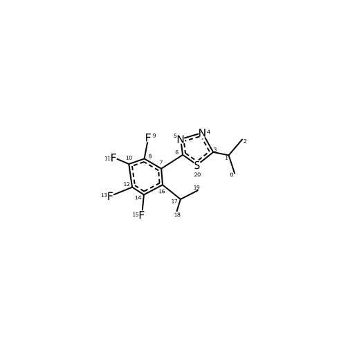 CC(C)c1nnc(-c2c(F)c(F)c(F)c(F)c2C(C)C)s1